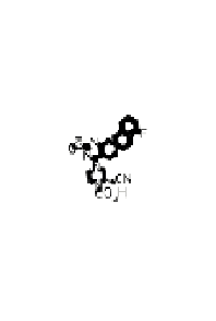 C[S+]([O-])c1nc2c(c(N3CCN(C(=O)O)[C@@H](CC#N)C3)n1)CC[C@@]1(CCc3c(F)cccc3C1)C2